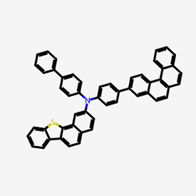 c1ccc(-c2ccc(N(c3ccc(-c4ccc5c(ccc6ccc7ccccc7c65)c4)cc3)c3ccc4ccc5c6ccccc6sc5c4c3)cc2)cc1